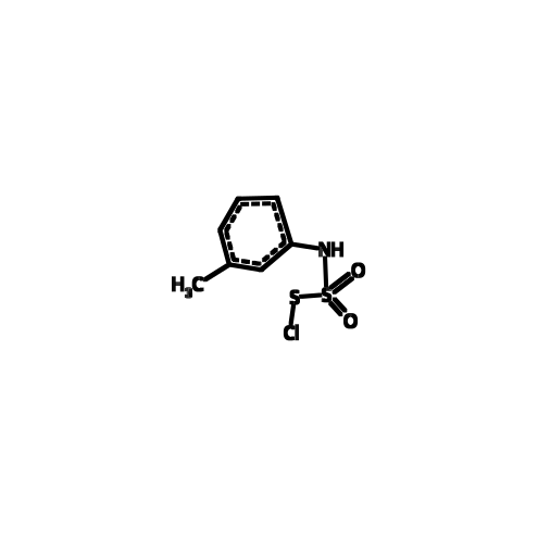 Cc1cccc(NS(=O)(=O)SCl)c1